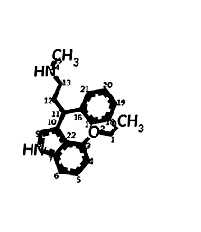 CCOc1cccc2[nH]cc(C(CCNC)c3ccccc3)c12